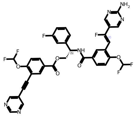 Nc1ncc(/C(F)=C/c2cc(C(=O)N[C@H](COC(=O)c3ccc(OC(F)F)c(C#Cc4cncnc4)c3)c3cccc(F)c3)ccc2OC(F)F)cn1